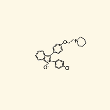 [O-][s+]1c(-c2ccc(Cl)cc2)c(-c2ccc(OCCN3CCCCC3)cc2)c2ccccc21